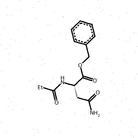 CCC(=O)N[C@@H](CC(N)=O)C(=O)OCc1ccccc1